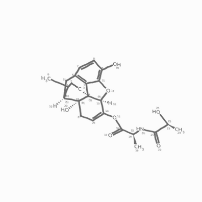 CC1CC[C@]23c4c5ccc(O)c4O[C@H]2C(OC(=O)[C@H](C)NC(=O)[C@H](C)O)=CC[C@@]3(O)[C@H]1C5